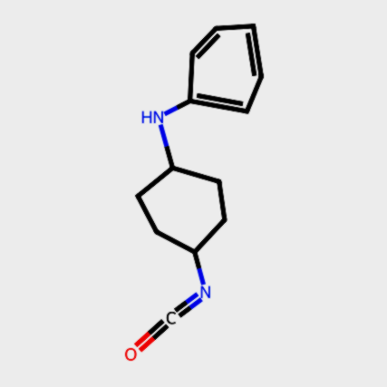 O=C=NC1CCC(Nc2ccccc2)CC1